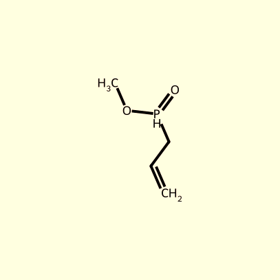 C=CC[PH](=O)OC